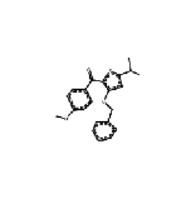 COc1ccc(C(=O)c2sc(C(C)C)cc2OCc2ccccc2)cc1